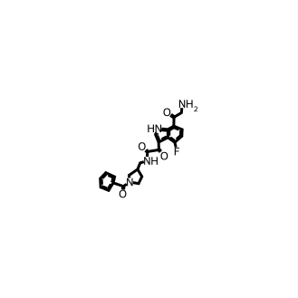 NCC(=O)c1ccc(F)c2c(C(=O)C(=O)NCC3CCN(C(=O)c4ccccc4)C3)c[nH]c12